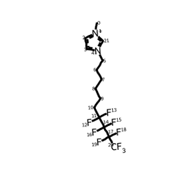 C[n+]1ccn(CCCCCCC(F)(F)C(F)(F)C(F)(F)C(F)(F)F)c1